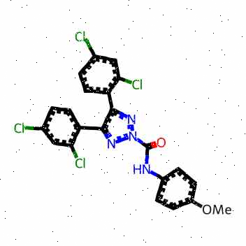 COc1ccc(NC(=O)n2nc(-c3ccc(Cl)cc3Cl)c(-c3ccc(Cl)cc3Cl)n2)cc1